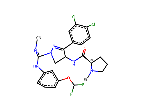 CCN1CCC[C@@H]1C(=O)NC1CN(C(=NC#N)Nc2cccc(OC(F)F)c2)N=C1c1ccc(Cl)c(Cl)c1